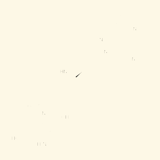 CN(C)c1cccnc1C1CN([C@H]2C[C@H](CNc3ccc4c(c3)C(O)N(C(CCC=O)C(N)=O)C4=O)C2)N=C1C1CC1